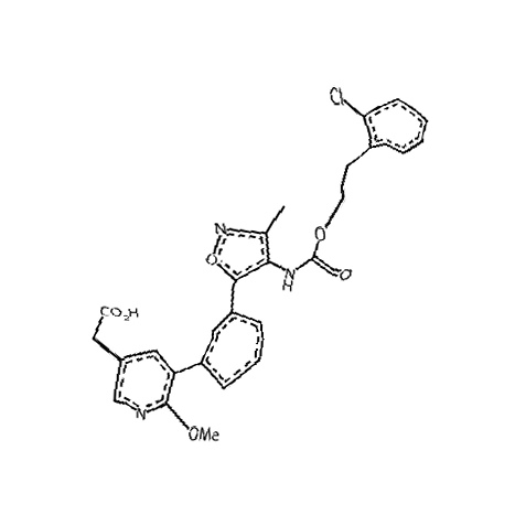 COc1ncc(CC(=O)O)cc1-c1cccc(-c2onc(C)c2NC(=O)OCCc2ccccc2Cl)c1